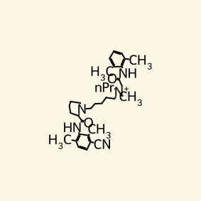 CCC[N+](C)(CCCCCN1CCCCC1C(=O)Nc1c(C)ccc(C#N)c1C)CC(=O)Nc1c(C)cccc1C